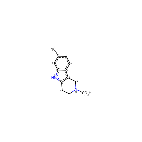 N#Cc1ccc2c3c([nH]c2c1)CCN(C(=O)O)C3